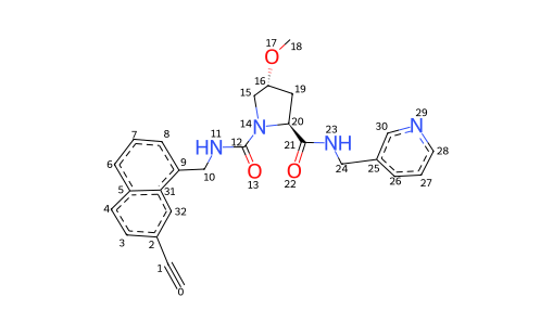 C#Cc1ccc2cccc(CNC(=O)N3C[C@H](OC)C[C@H]3C(=O)NCc3cccnc3)c2c1